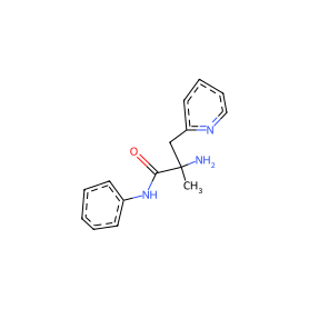 CC(N)(Cc1ccccn1)C(=O)Nc1ccccc1